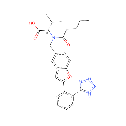 CCCCC(=O)N(Cc1ccc2oc(-c3ccccc3-c3nnn[nH]3)cc2c1)[C@H](C(=O)O)C(C)C